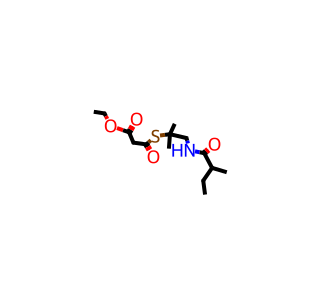 CCOC(=O)CC(=O)SC(C)(C)CNC(=O)C(C)CC